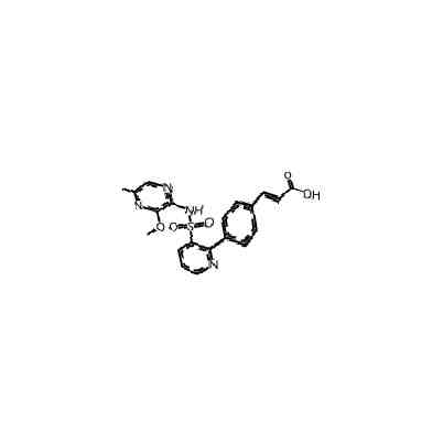 COc1nc(C)cnc1NS(=O)(=O)c1cccnc1-c1ccc(C=CC(=O)O)cc1